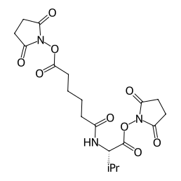 CC(C)[C@H](NC(=O)CCCCC(=O)ON1C(=O)CCC1=O)C(=O)ON1C(=O)CCC1=O